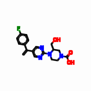 C=C(c1ccc(F)cc1)c1cnc(N2CCN(C(=O)O)CC2CO)nc1